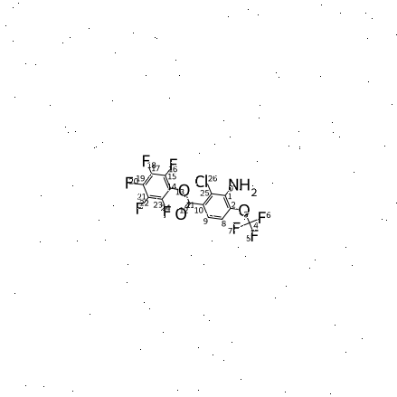 Nc1c(OC(F)(F)F)ccc(C(=O)Oc2c(F)c(F)c(F)c(F)c2F)c1Cl